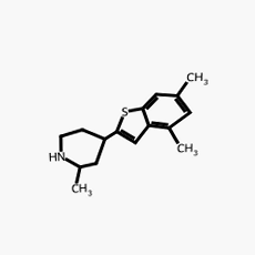 Cc1cc(C)c2cc(C3CCNC(C)C3)sc2c1